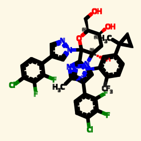 Cc1nc(C2(n3cc(-c4ccc(Cl)c(F)c4F)cn3)O[C@@H](CO)[C@@H](O)C[C@@]2(O)n2cc(-c3ccc(Cl)c(F)c3F)cn2)n(-c2cc(C3(C)CC3)ccc2C(F)(F)F)n1